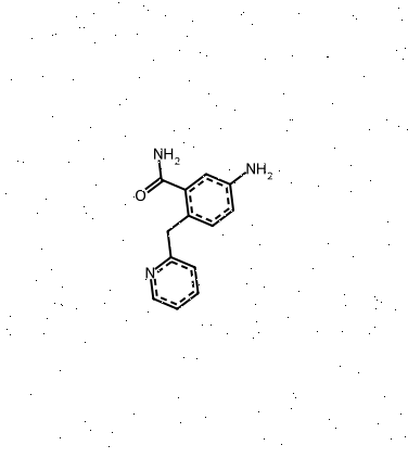 NC(=O)c1cc(N)ccc1Cc1ccccn1